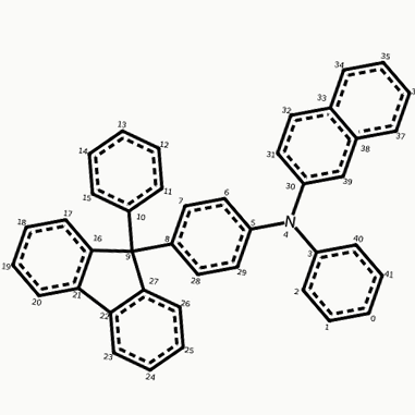 c1ccc(N(c2ccc(C3(c4ccccc4)c4ccccc4-c4ccccc43)cc2)c2ccc3ccccc3c2)cc1